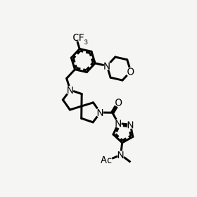 CC(=O)N(C)c1cnn(C(=O)N2CCC3(CCN(Cc4cc(N5CCOCC5)cc(C(F)(F)F)c4)C3)C2)c1